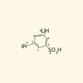 CC(C)c1cccc(S(=O)(=O)O)c1.[LiH]